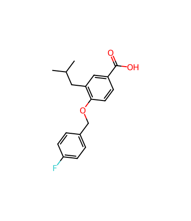 CC(C)Cc1cc(C(=O)O)ccc1OCc1ccc(F)cc1